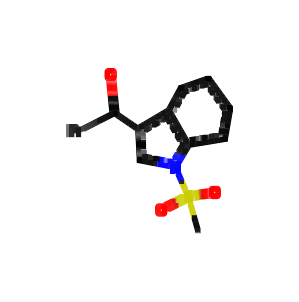 CC(C)C(=O)c1cn(S(C)(=O)=O)c2ccccc12